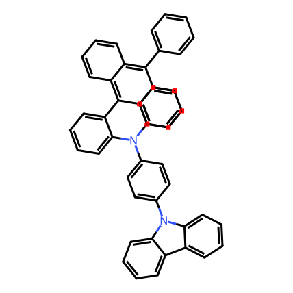 c1ccc(-c2c3ccccc3c(-c3ccccc3N(c3ccccc3)c3ccc(-n4c5ccccc5c5ccccc54)cc3)c3ccccc23)cc1